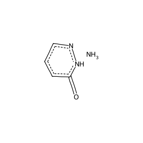 N.O=c1cccn[nH]1